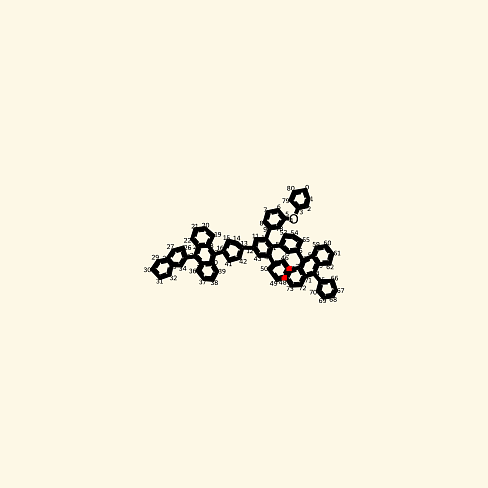 c1ccc(Oc2cccc(-c3cc(-c4ccc(-c5c6ccccc6c(-c6ccc7ccccc7c6)c6ccccc56)cc4)cc(-c4ccccc4)c3-c3cccc(-c4c5ccccc5c(-c5ccccc5)c5ccccc45)c3)c2)cc1